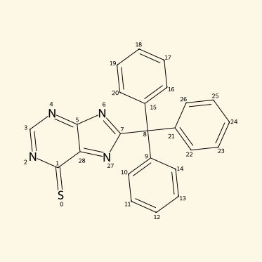 S=C1N=CN=C2N=C(C(c3ccccc3)(c3ccccc3)c3ccccc3)N=C12